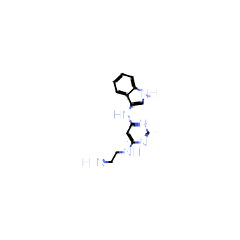 NCCNc1cc(Nc2c[nH]c3ccccc23)ncn1